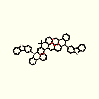 CC1(C)c2cc(N(c3ccc4oc5ccccc5c4c3)c3ccccc3-c3ccccc3)ccc2-c2cc3ccc(N(c4ccc5oc6ccccc6c5c4)c4ccccc4-c4ccccc4)cc3c3cccc1c23